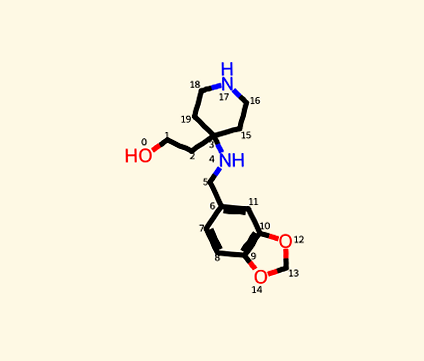 OCCC1(NCc2ccc3c(c2)OCO3)CCNCC1